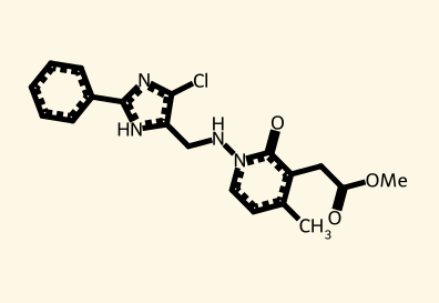 COC(=O)Cc1c(C)ccn(NCc2[nH]c(-c3ccccc3)nc2Cl)c1=O